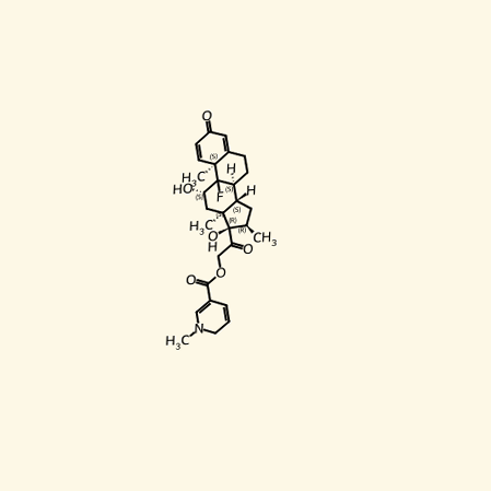 C[C@@H]1C[C@H]2[C@@H]3CCC4=CC(=O)C=C[C@]4(C)C3(F)[C@@H](O)C[C@]2(C)[C@@]1(O)C(=O)COC(=O)C1=CN(C)CC=C1